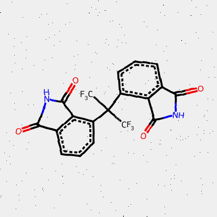 O=C1NC(=O)c2c1cccc2C(c1cccc2c1C(=O)NC2=O)(C(F)(F)F)C(F)(F)F